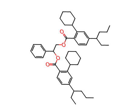 CCCC(CC)c1ccc(C(=O)OCC(OC(=O)c2ccc(C(CC)CCC)cc2C2CCCCC2)c2ccccc2)c(C2CCCCC2)c1